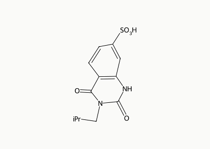 CC(C)Cn1c(=O)[nH]c2cc(S(=O)(=O)O)ccc2c1=O